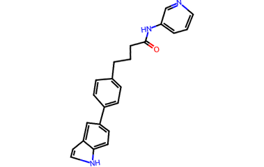 O=C(CCCc1ccc(-c2ccc3[nH]ccc3c2)cc1)Nc1cccnc1